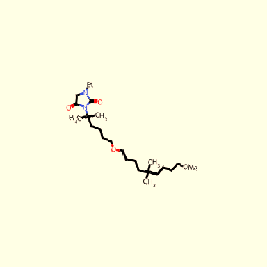 CCN1CC(=O)N(C(C)(C)CCCCOCCCCC(C)(C)CCCCOC)C1=O